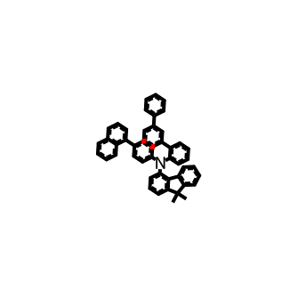 CC1(C)c2ccccc2-c2c(N(c3ccc(-c4cccc5ccccc45)cc3)c3ccccc3-c3cccc(-c4ccccc4)c3)cccc21